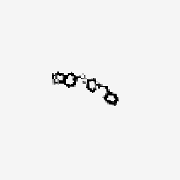 c1ccc(CN2CC[C@H](Oc3ccc4[nH]ncc4c3)C2)cc1